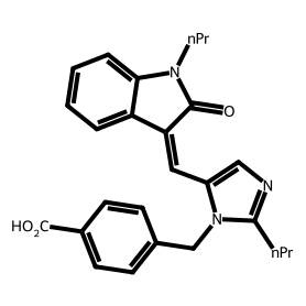 CCCc1ncc(C=C2C(=O)N(CCC)c3ccccc32)n1Cc1ccc(C(=O)O)cc1